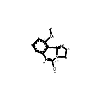 COc1cccc2c1C1=NCCN1C(Cl)=N2